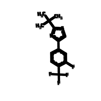 CC(C)(C)c1nc(-c2ccc(C(F)(F)F)c(F)c2)cs1